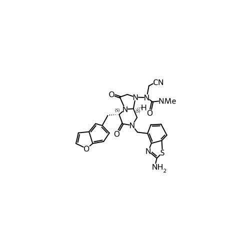 CNC(=O)N(CC#N)N1CC(=O)N2[C@@H](Cc3ccc4occc4c3)C(=O)N(Cc3cccc4sc(N)nc34)C[C@@H]21